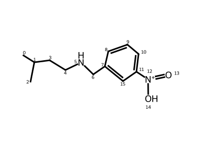 CC(C)CCNCc1cccc([N+](=O)O)c1